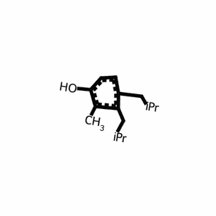 Cc1c(O)ccc(CC(C)C)c1CC(C)C